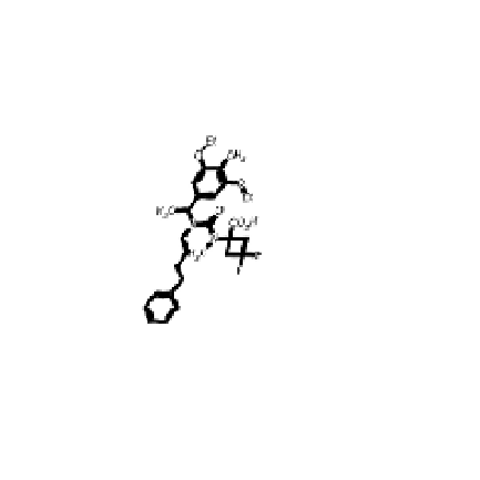 CCOc1cc(C(C)N(CCCCc2ccccc2)C(=O)N(C)C2(C(=O)O)CC(F)(F)C2)cc(OCC)c1C